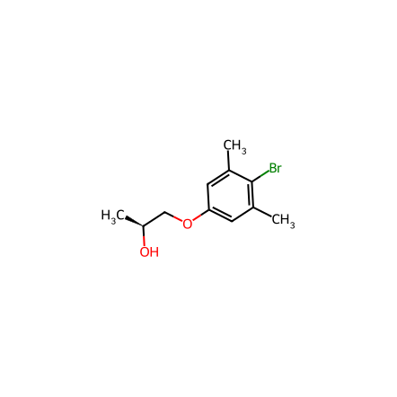 Cc1cc(OC[C@H](C)O)cc(C)c1Br